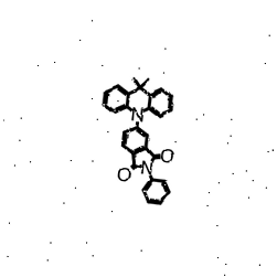 CC1(C)c2ccccc2N(c2ccc3c(c2)C(=O)N(c2ccccc2)C3=O)c2ccccc21